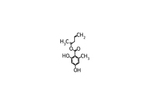 C=CC[C@@H](C)OC(=O)c1c(C)cc(O)cc1O